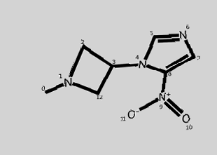 CN1CC(n2cncc2[N+](=O)[O-])C1